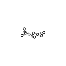 c1ccc(-c2nc(-c3ccccc3)nc(-c3ccc(-c4nc5ccccc5c5c(-c6ccc(-c7cccc8c7oc7ccccc78)cc6)cccc45)cc3)n2)cc1